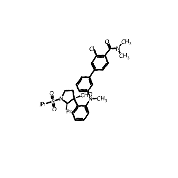 CC(C)C1N(S(=O)(=O)C(C)C)CC[C@]1(C=O)c1ccccc1N(C)c1cccc(-c2ccc(C(=O)N(C)C)c(Cl)c2)c1